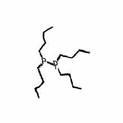 CCCCP(CCCC)P(CCCC)CCCC